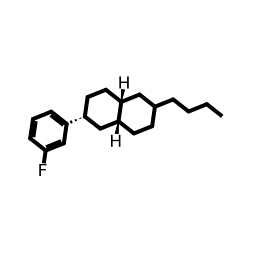 CCCCC1CC[C@@H]2C[C@H](c3cccc(F)c3)CC[C@@H]2C1